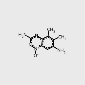 Cc1c(N)cc2c(nc(N)n[n+]2[O-])c1C